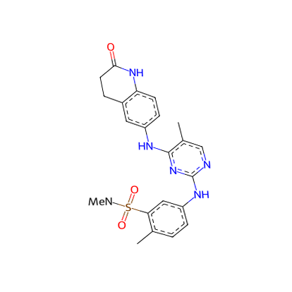 CNS(=O)(=O)c1cc(Nc2ncc(C)c(Nc3ccc4c(c3)CCC(=O)N4)n2)ccc1C